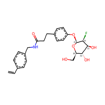 C=Cc1ccc(CNC(=O)CCc2ccc(O[C@@H]3O[C@H](CO)[C@@H](O)[C@H](O)[C@@H]3F)cc2)cc1